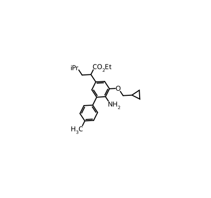 CCOC(=O)C(CC(C)C)c1cc(OCC2CC2)c(N)c(-c2ccc(C)cc2)c1